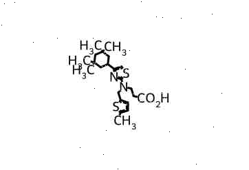 Cc1ccc(CN(CCC(=O)O)c2nc(C3CC(C)(C)CC(C)(C)C3)cs2)s1